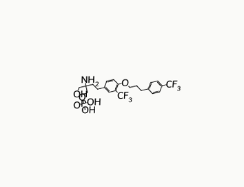 NC(CO)(CCc1ccc(OCCCc2ccc(C(F)(F)F)cc2)c(C(F)(F)F)c1)COP(=O)(O)O